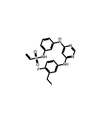 C=CS(=O)(=O)Nc1cccc(Nc2cc(Nc3ccc(F)c(CI)c3)ncn2)c1